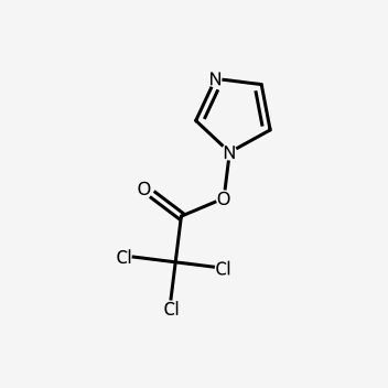 O=C(On1ccnc1)C(Cl)(Cl)Cl